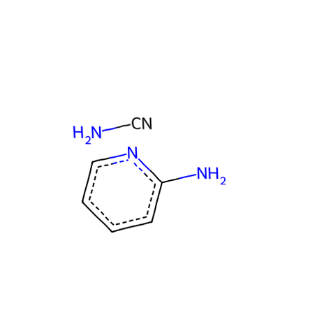 N#CN.Nc1ccccn1